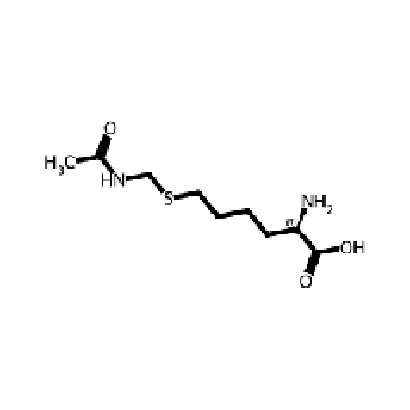 CC(=O)NCSCCCC[C@@H](N)C(=O)O